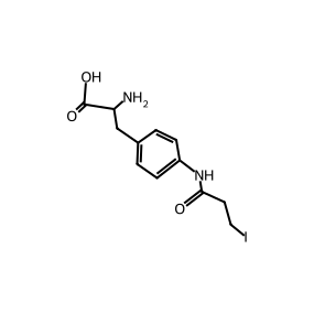 NC(Cc1ccc(NC(=O)CCI)cc1)C(=O)O